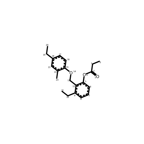 CCC(=O)Oc1cccc(CC)c1COc1ccc(CC)cc1C